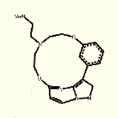 CNCCN1CCOC2=NC3=C(CNN3C=C2)c2cccc(c2)OCC1